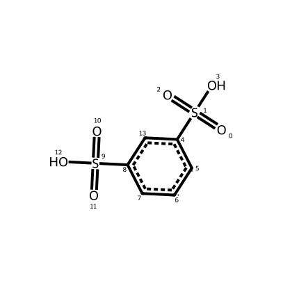 O=S(=O)(O)c1[c][c]cc(S(=O)(=O)O)c1